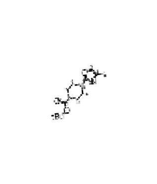 Cc1coc(N2CCN(C(=O)OC(C)(C)C)CC2)n1